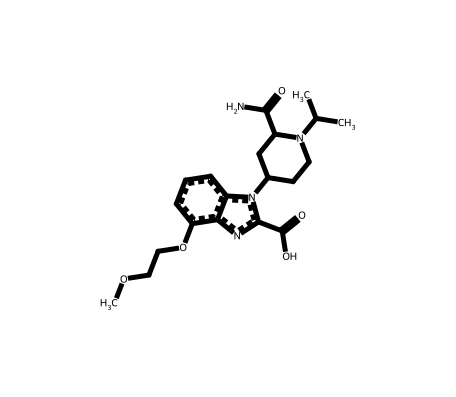 COCCOc1cccc2c1nc(C(=O)O)n2C1CCN(C(C)C)C(C(N)=O)C1